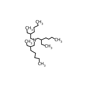 CCCCCC(CC)CN(CC(CC)CCCC)CC(CC)CCCC